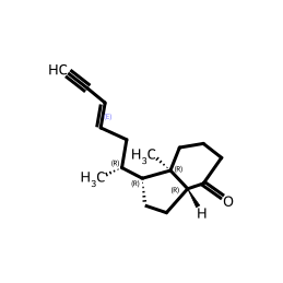 C#C/C=C/C[C@@H](C)[C@H]1CC[C@H]2C(=O)CCC[C@]12C